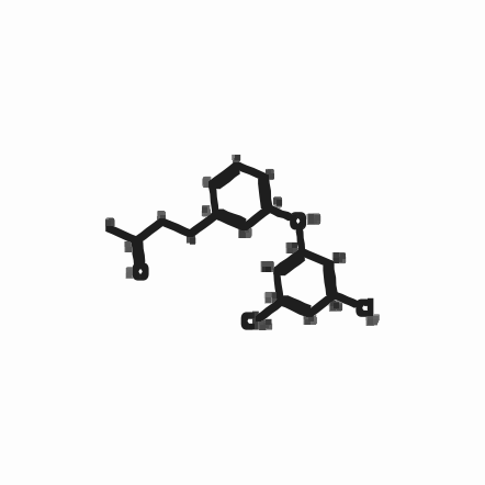 CC(=O)CCc1cccc(Oc2cc(Cl)cc(Cl)c2)c1